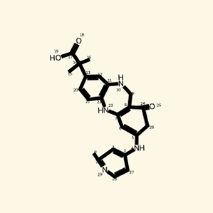 Cc1cc(NC2=CC3=C(CNc4cc(C(C)(C)C(=O)O)ccc4N3)C(=O)C2)ccn1